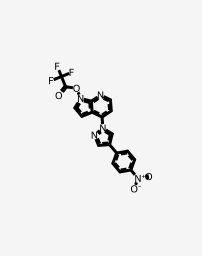 O=C(On1ccc2c(-n3cc(-c4ccc([N+](=O)[O-])cc4)cn3)ccnc21)C(F)(F)F